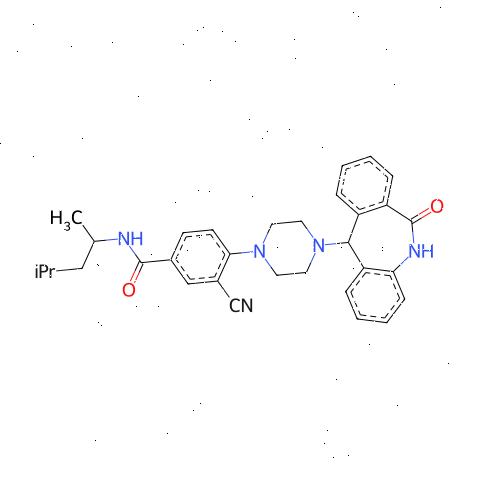 CC(C)CC(C)NC(=O)c1ccc(N2CCN(C3c4ccccc4NC(=O)c4ccccc43)CC2)c(C#N)c1